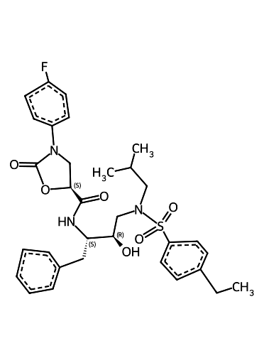 CCc1ccc(S(=O)(=O)N(CC(C)C)C[C@@H](O)[C@H](Cc2ccccc2)NC(=O)[C@@H]2CN(c3ccc(F)cc3)C(=O)O2)cc1